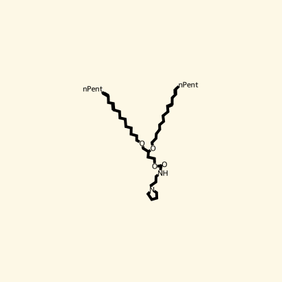 CCCCCC=CCC=CCCCCCCCCOCC(CCOC(=O)NCCCN1CCCC1)OCCCCCCCCC=CCC=CCCCCC